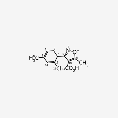 CC1=CCC(c2noc(C)c2C(=O)O)C(Cl)=C1